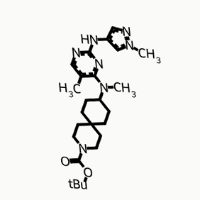 Cc1cnc(Nc2cnn(C)c2)nc1N(C)C1CCC2(CC1)CCN(C(=O)OC(C)(C)C)CC2